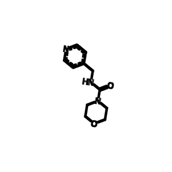 O=C(NCc1ccncc1)N1CCOCC1